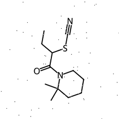 CCC(SC#N)C(=O)N1CCCCC1(C)C